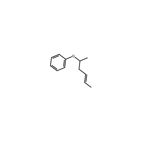 CC=CCC(C)Oc1ccccc1